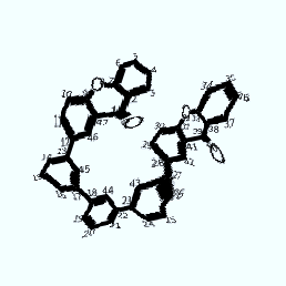 O=c1c2ccccc2oc2ccc(-c3cccc(-c4cccc(-c5cccc(-c6ccc7oc8ccccc8c(=O)c7c6)c5)c4)c3)cc12